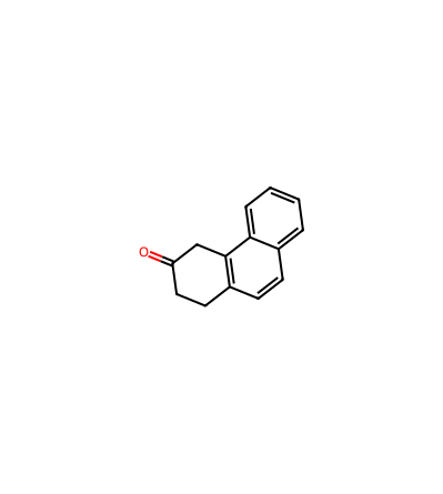 O=C1CCc2ccc3ccccc3c2C1